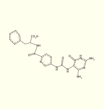 Nc1nc(N)c(NC(=O)Nc2ccc(C(=O)NC(Cc3ccccc3)C(=O)O)nc2)c(=O)[nH]1